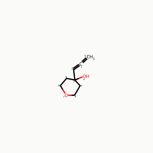 C=C=CC1(O)CCOCC1